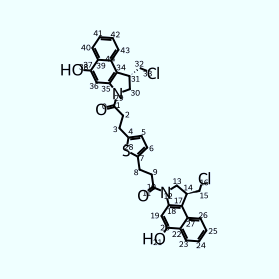 O=C(CCc1ccc(CCC(=O)N2C[C@@H](CCl)c3c2cc(O)c2ccccc32)s1)N1C[C@@H](CCl)c2c1cc(O)c1ccccc21